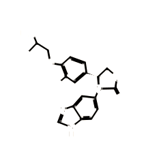 CC(F)COc1ccc([C@H]2COC(=O)N2c2ccc3[nH]cnc3c2)cc1F